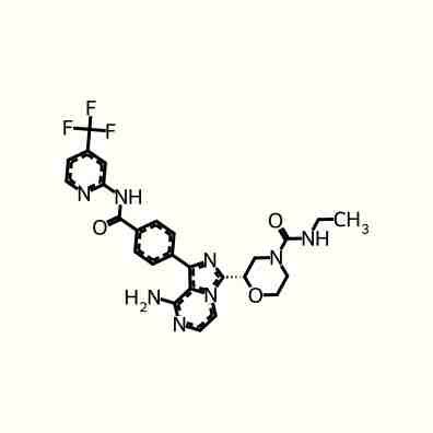 CCNC(=O)N1CCO[C@H](c2nc(-c3ccc(C(=O)Nc4cc(C(F)(F)F)ccn4)cc3)c3c(N)nccn23)C1